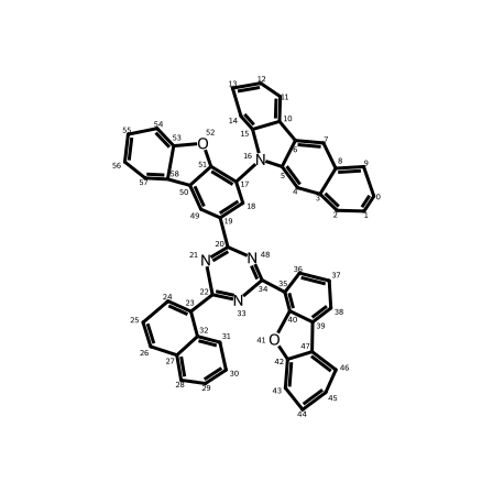 c1ccc2cc3c(cc2c1)c1ccccc1n3-c1cc(-c2nc(-c3cccc4ccccc34)nc(-c3cccc4c3oc3ccccc34)n2)cc2c1oc1ccccc12